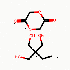 CCC(CO)(CO)CO.O=C1COC(=O)CO1